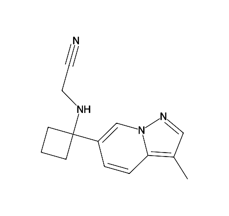 Cc1cnn2cc(C3(NCC#N)CCC3)ccc12